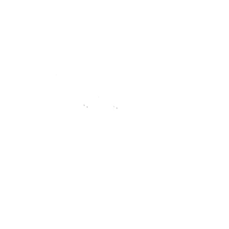 CCOC(=O)C1CCN(c2ccc(OC(F)F)cn2)CC1